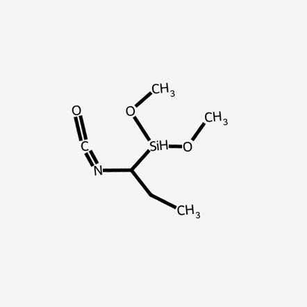 CCC(N=C=O)[SiH](OC)OC